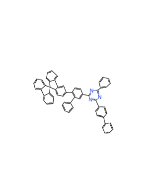 c1ccc(-c2ccc(-c3nc(-c4ccccc4)nc(-c4ccc(-c5ccc6c(c5)-c5ccccc5C65c6ccccc6-c6ccccc65)c(-c5ccccc5)c4)n3)cc2)cc1